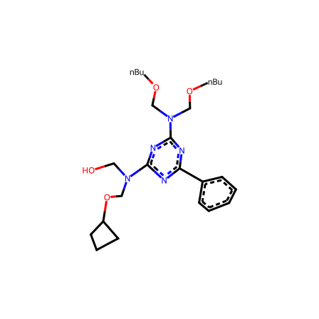 CCCCOCN(COCCCC)c1nc(-c2ccccc2)nc(N(CO)COC2CCC2)n1